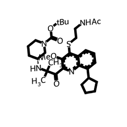 COc1c(C(=O)C(C)(C)N[C@@H]2CCCN(C(=O)OC(C)(C)C)C2)nc2c(C3CCCC3)cccc2c1SCCNC(C)=O